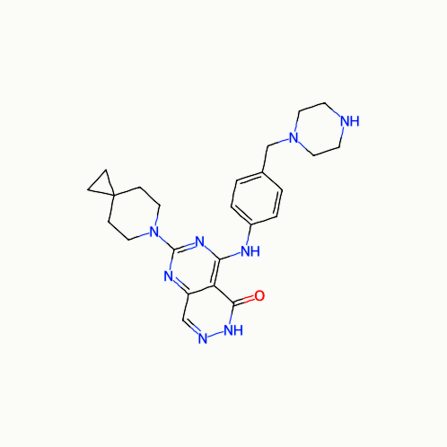 O=c1[nH]ncc2nc(N3CCC4(CC3)CC4)nc(Nc3ccc(CN4CCNCC4)cc3)c12